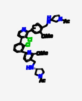 COc1cc(-c2nccc(-c3cccc(-c4ccc(CN[C@@H]5CCN(C(C)=O)C5)c(OC)n4)c3Cl)c2Cl)ccc1CN[C@H]1CCN(C(C)=O)C1